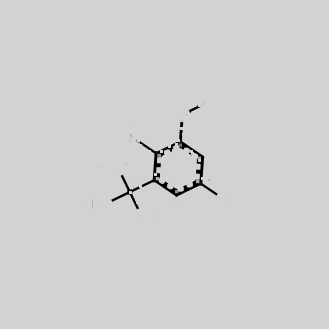 COc1cc(C)cc(C(C)(C)C)c1N